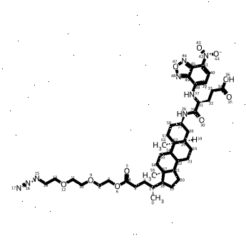 C[C@H](CCC(=O)OCCOCCOCCN=[N+]=[N-])C1CCC2C3CC[C@@H]4C[C@H](NC(=O)[C@H](CCC(=O)O)Nc5ccc([N+](=O)[O-])c6nonc56)CC[C@]4(C)C3CC[C@@]21C